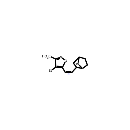 CCc1c(C(=O)O)noc1/C=C\C1CC2CCC1N2